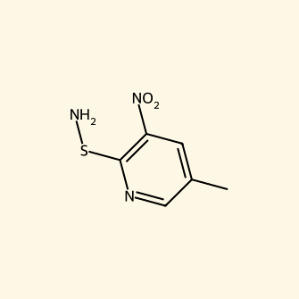 Cc1cnc(SN)c([N+](=O)[O-])c1